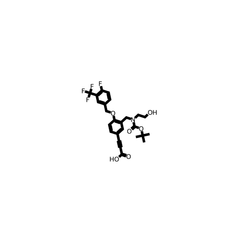 CC(C)(C)OC(=O)N(CCO)Cc1cc(C#CC(=O)O)ccc1OCc1ccc(F)c(C(F)(F)F)c1